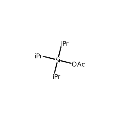 CC(=O)O[Si](C(C)C)(C(C)C)C(C)C